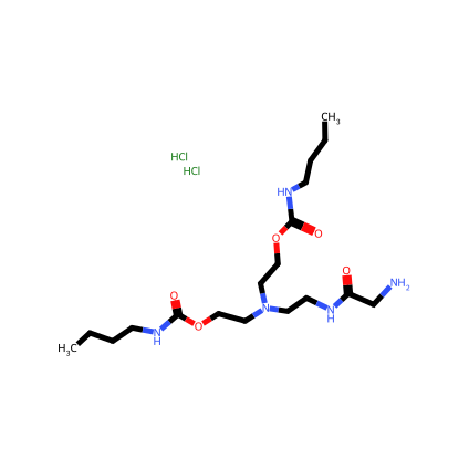 CCCCNC(=O)OCCN(CCNC(=O)CN)CCOC(=O)NCCCC.Cl.Cl